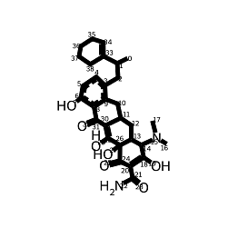 CC(Cc1ccc(O)c2c1CC1CC3C(N(C)C)C(O)=C(C(N)=O)C(=O)C3(O)C(O)=C1C2=O)C1=CCCCC1